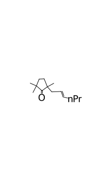 CCCC=CCC1(C)CCC(C)(C)C1=O